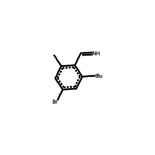 CCC(C)c1cc(Br)cc(C)c1C=N